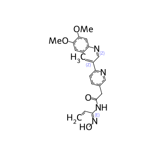 C=C/C(=N\O)NC(=O)Cc1ccc(C(/C=N\c2ccc(OC)c(OC)c2)=C/C)nc1